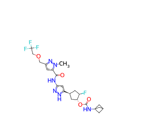 Cn1nc(COCC(F)(F)F)cc1C(=O)Nc1cc([C@H]2C[C@@H](F)[C@H](OC(=O)NC34CC(C3)C4)C2)[nH]n1